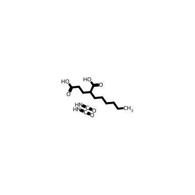 CCCCCCC(CCC(=O)O)C(=O)O.N=C=O.N=C=O